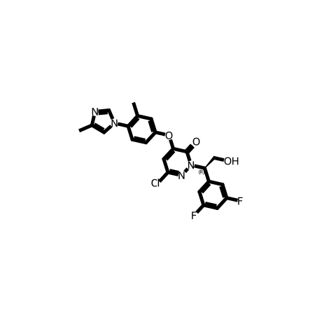 Cc1cn(-c2ccc(Oc3cc(Cl)nn([C@@H](CO)c4cc(F)cc(F)c4)c3=O)cc2C)cn1